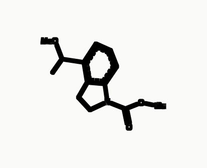 COC(C)c1cccc2c1CCN2C(=O)OC(C)(C)C